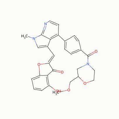 COCC1CN(C(=O)c2ccc(-c3ccnc4c3c(/C=C3\Oc5cccc(O)c5C3=O)cn4C)cc2)CCO1